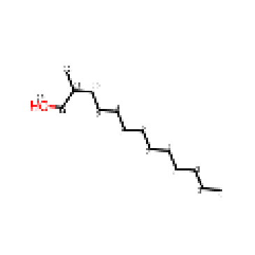 CCCCCCCCCCCC(C)CO